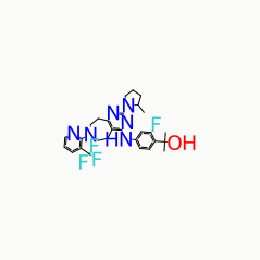 CC1CCCN1c1nc2c(c(Nc3ccc(C(C)(C)O)c(F)c3)n1)CCN(c1ncccc1C(F)(F)F)CC2